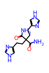 NC(=O)C(CCc1c[nH]cn1)(CCc1c[nH]cn1)C(N)=O